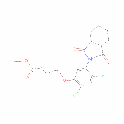 COC(=O)/C=C/COc1cc(N2C(=O)C3CCCCC3C2=O)c(F)cc1Cl